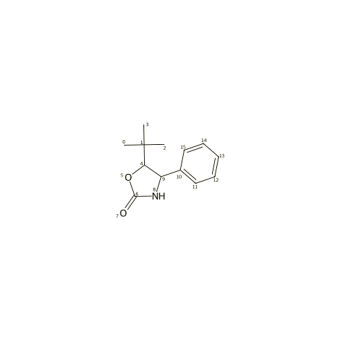 CC(C)(C)C1OC(=O)NC1c1ccccc1